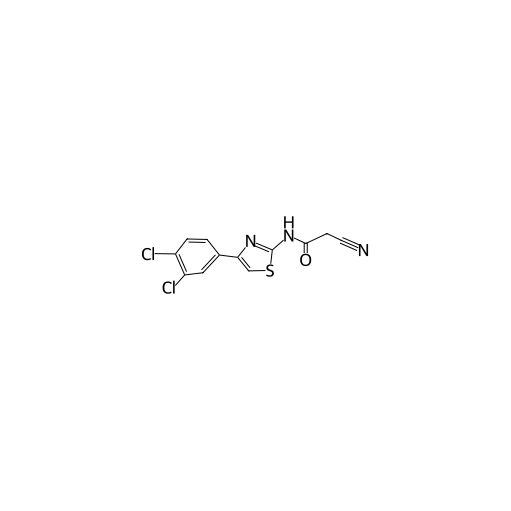 N#CCC(=O)Nc1nc(-c2ccc(Cl)c(Cl)c2)cs1